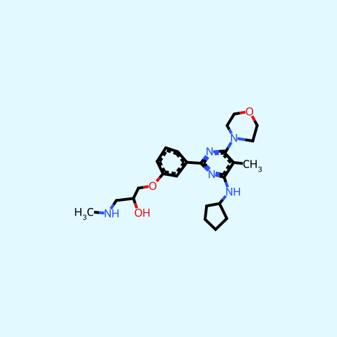 CNCC(O)COc1cccc(-c2nc(NC3CCCC3)c(C)c(N3CCOCC3)n2)c1